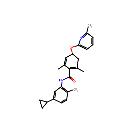 CC1=C[C@@H](Oc2cccc(C(F)(F)F)n2)CC(C)=C1C(=O)Nc1cc(C2CC2)ccc1C(F)(F)F